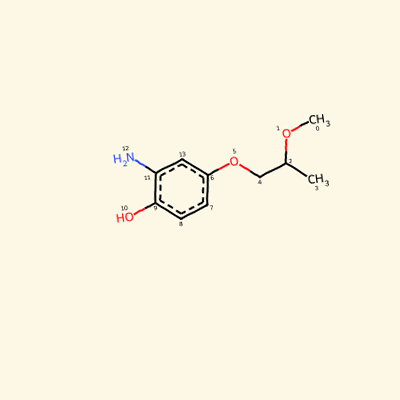 COC(C)COc1ccc(O)c(N)c1